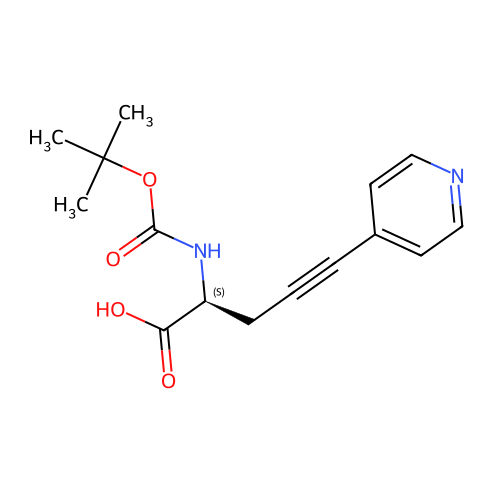 CC(C)(C)OC(=O)N[C@@H](CC#Cc1ccncc1)C(=O)O